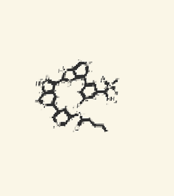 CCCCC(=O)Nc1cncc(-c2cc3c(-c4nc5c(-c6cc(F)cc(C(N)S(C)(=O)=O)c6)cncc5[nH]4)n[nH]c3cn2)c1